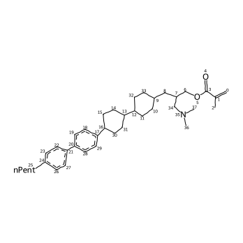 C=C(C)C(=O)OCC(CC1CCC(C2CCC(c3ccc(-c4ccc(CCCCC)cc4)cc3)CC2)CC1)CN(C)C